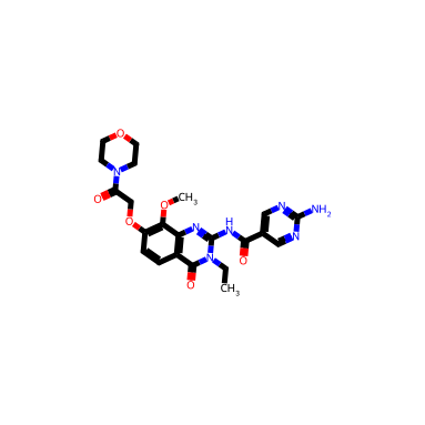 CCn1c(NC(=O)c2cnc(N)nc2)nc2c(OC)c(OCC(=O)N3CCOCC3)ccc2c1=O